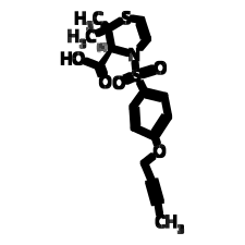 CC#CCOc1ccc(S(=O)(=O)N2C=CSC(C)(C)[C@@H]2C(=O)O)cc1